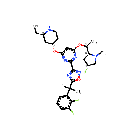 C[C@H](Oc1cc(O[C@H]2CCN[C@H](CC#N)C2)nc(-c2noc(C(C)(C)c3cccc(F)c3F)n2)n1)[C@@H]1C[C@@H](F)CN1C